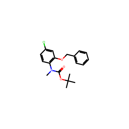 CN(C(=O)OC(C)(C)C)c1ccc(Cl)cc1OCc1ccccc1